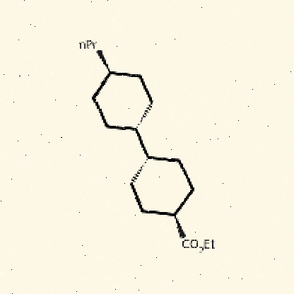 CCC[C@H]1CC[C@H]([C@H]2CC[C@H](C(=O)OCC)CC2)CC1